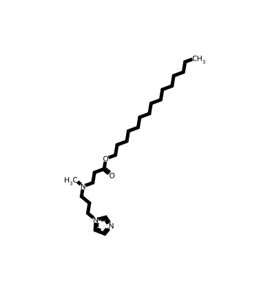 CCCCCCCCCCCCCCCOC(=O)CCN(C)CCCn1ccnc1